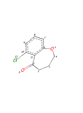 O=C1CCCOc2cccc(Cl)c21